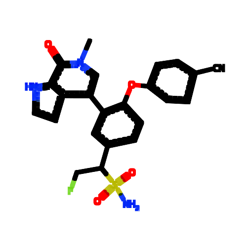 Cn1cc(-c2cc(C(CF)S(N)(=O)=O)ccc2Oc2ccc(C#N)cc2)c2cc[nH]c2c1=O